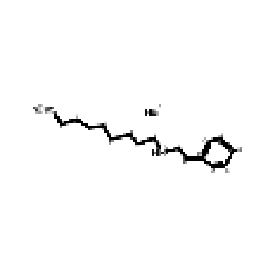 Br.CCCCCCCCCCCCCCCCCCNCCc1ccccc1